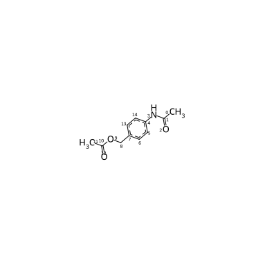 CC(=O)Nc1ccc(COC(C)=O)cc1